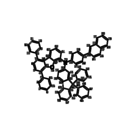 c1ccc(-c2ccc(-c3ccccc3)c3c2oc2c(N(c4ccc(-c5ccc6ccccc6c5)cc4)c4ccc5c(c4)C(c4ccccc4)(c4ccccc4)c4ccccc4-5)cccc23)cc1